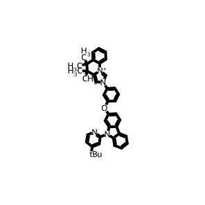 CC(C)(C)c1ccnc(-n2c3ccccc3c3ccc(Oc4cccc(-n5cc6[n+](c5)-c5ccccc5C(C)(C)C6(C)C)c4)cc32)c1